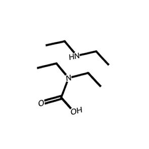 CCN(CC)C(=O)O.CCNCC